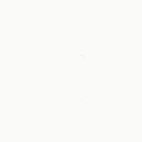 c1ccc(COc2ccc3sc(-c4ccccc4)nc3c2)cc1